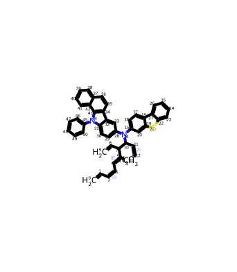 C=C/C=C\C=C(/C)C(C=C)C(/C=C\C)N(c1ccc2c(c1)sc1ccccc12)c1ccc2c(c1)c1ccc3ccccc3c1n2-c1ccccc1